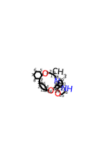 CC1COC2CCCCC2C2CCC(CC2)OC[C@@H]2N(CC[C@@]23COCCN3)C1